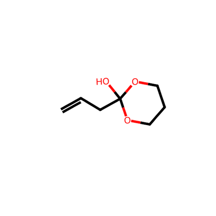 C=CCC1(O)OCCCO1